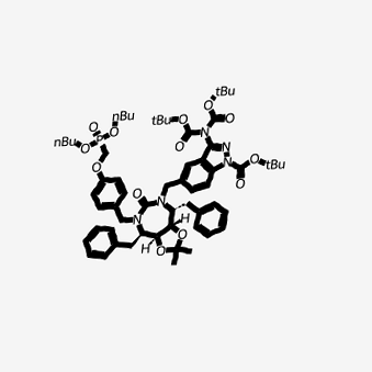 CCCCOP(=O)(COc1ccc(CN2C(=O)N(Cc3ccc4c(c3)c(N(C(=O)OC(C)(C)C)C(=O)OC(C)(C)C)nn4C(=O)OC(C)(C)C)[C@H](Cc3ccccc3)[C@@H]3OC(C)(C)O[C@H]3[C@H]2Cc2ccccc2)cc1)OCCCC